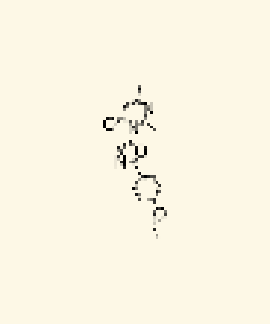 CCOc1ccc(-c2ncc(-n3c(C)nc(C)cc3=O)o2)cc1